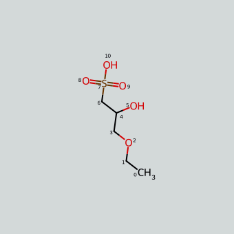 CCOCC(O)CS(=O)(=O)O